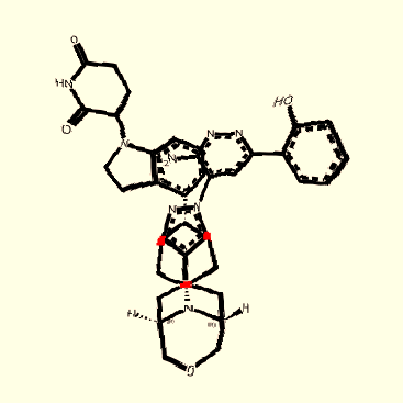 Nc1nnc(-c2ccccc2O)cc1-n1cc(N2C[C@@H]3COC[C@@H](C2)N3[C@H]2CC[C@@H](c3cccc4c3CCN4C3CCC(=O)NC3=O)CC2)cn1